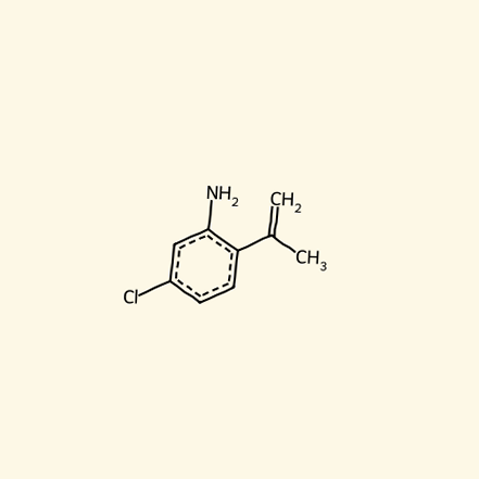 C=C(C)c1ccc(Cl)cc1N